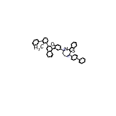 Cc1c(-c2ccccc2)cccc1-c1cc2ccccc2c2c1oc1ccc(/C3=N/c4c(sc5ccccc45)/C(c4ccc(-c5ccccc5)cc4)=C\CC3)cc12